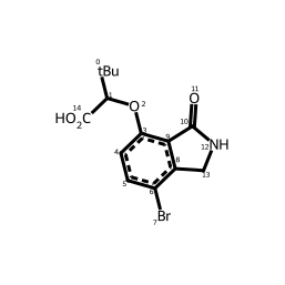 CC(C)(C)C(Oc1ccc(Br)c2c1C(=O)NC2)C(=O)O